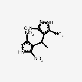 CC(c1c([N+](=O)[O-])n[nH]c1[N+](=O)[O-])c1c([N+](=O)[O-])n[nH]c1[N+](=O)[O-]